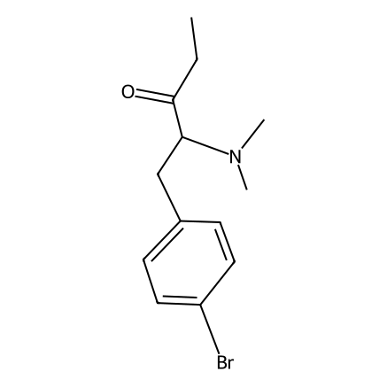 CCC(=O)C(Cc1ccc(Br)cc1)N(C)C